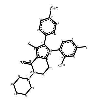 Cc1ccc(-n2c3c(c(C)c2-c2ccc(C=O)cc2)C(=O)N(N2CCCCC2)CC3)c(Cl)c1